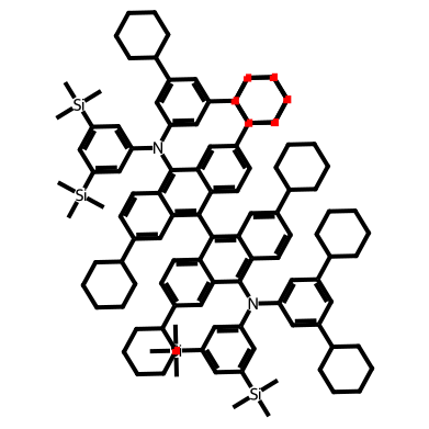 C[Si](C)(C)c1cc(N(c2cc(C3CCCCC3)cc(C3CCCCC3)c2)c2c3ccc(C4CCCCC4)cc3c(-c3c4cc(C5CCCCC5)ccc4c(N(c4cc(C5CCCCC5)cc(C5CCCCC5)c4)c4cc([Si](C)(C)C)cc([Si](C)(C)C)c4)c4cc(C5CCCCC5)ccc34)c3ccc(C4CCCCC4)cc23)cc([Si](C)(C)C)c1